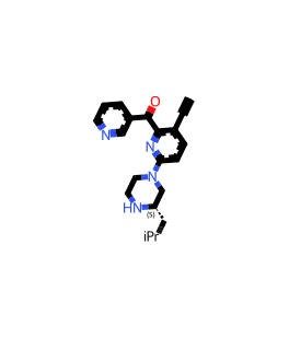 C#Cc1ccc(N2CCN[C@@H](CC(C)C)C2)nc1C(=O)c1cccnc1